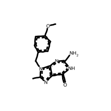 COc1ccc(Cn2c(C)nc3c(=O)[nH]c(N)nc32)cc1